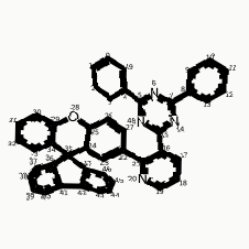 C1=CCCC(c2nc(-c3ccccc3)nc(-c3cccnc3C3=CC4C(C=C3)Oc3ccccc3C43c4ccccc4-c4ccccc43)n2)=C1